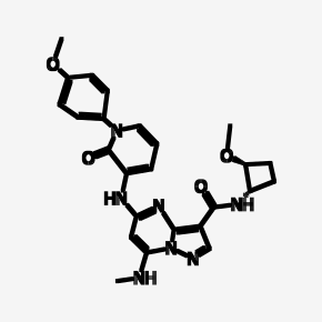 CNc1cc(Nc2cccn(-c3ccc(OC)cc3)c2=O)nc2c(C(=O)N[C@H]3CC[C@@H]3OC)cnn12